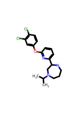 CC(C)N1CCC[N]C(c2cccc(Oc3ccc(Cl)c(Cl)c3)n2)C1